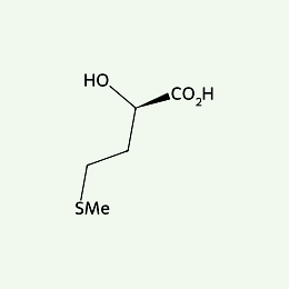 CSCC[C@@H](O)C(=O)O